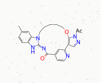 CC(=O)n1ncc2c1OCCC[C@@H](C)CN1/C(=N/C(=O)c3ccnc-2c3)Nc2ccc(C)cc21